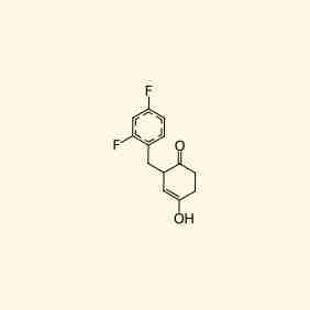 O=C1CCC(O)=CC1Cc1ccc(F)cc1F